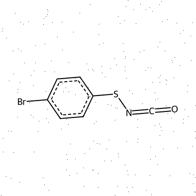 O=C=NSc1ccc(Br)cc1